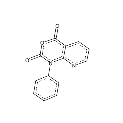 O=c1oc(=O)n(-c2ccccc2)c2ncccc12